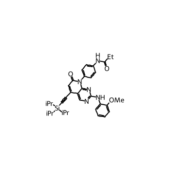 CCC(=O)Nc1ccc(-n2c(=O)cc(C#C[Si](C(C)C)(C(C)C)C(C)C)c3cnc(Nc4ccccc4OC)nc32)cc1